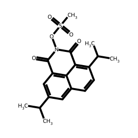 CC(C)c1cc2c3c(c(C(C)C)ccc3c1)C(=O)N(OS(C)(=O)=O)C2=O